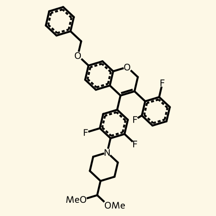 COC(OC)C1CCN(c2c(F)cc(C3=C(c4c(F)cccc4F)COc4cc(OCc5ccccc5)ccc43)cc2F)CC1